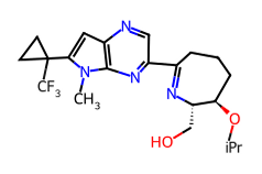 CC(C)O[C@@H]1CCCC(c2cnc3cc(C4(C(F)(F)F)CC4)n(C)c3n2)=N[C@H]1CO